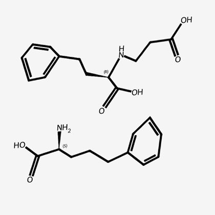 N[C@@H](CCCc1ccccc1)C(=O)O.O=C(O)CCN[C@H](CCc1ccccc1)C(=O)O